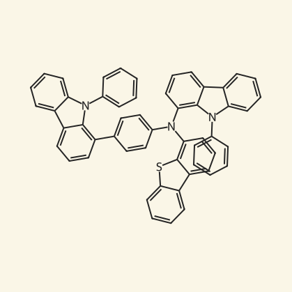 c1ccc(-n2c3ccccc3c3cccc(-c4ccc(N(c5cccc6c5sc5ccccc56)c5cccc6c7ccccc7n(-c7ccccc7)c56)cc4)c32)cc1